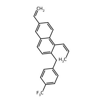 C=Cc1ccc2c(/C=C\C)c(Cc3ccc(C(F)(F)F)cc3)ccc2c1